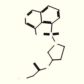 COCC(=O)NC1CCN(S(=O)(=O)c2cccc3cncc(Cl)c23)C1